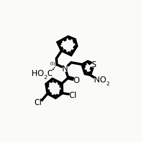 O=C(O)[C@H](Cc1ccccc1)N(Cc1csc([N+](=O)[O-])c1)C(=O)c1ccc(Cl)cc1Cl